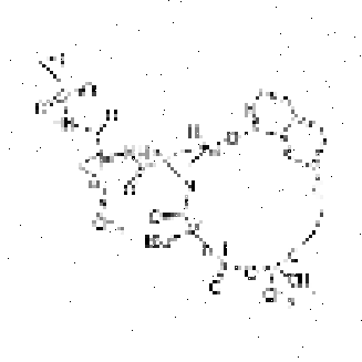 C=C[C@@H]1C[C@]1(NC(=O)[C@@H]1C[C@@H]2CN1C(=O)[C@H](C(C)(C)C)NC(=O)OC(C)(C)CCCCc1ccc3ccnc(c3c1)O2)C(=O)NS(=O)(=O)C1CC1